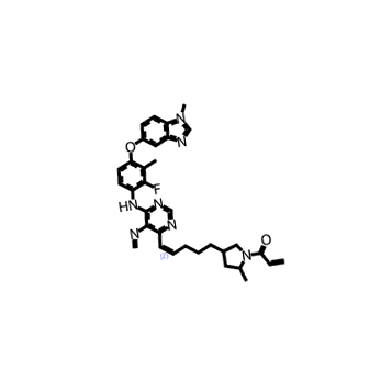 C=CC(=O)N1CC(CCC/C=C\c2ncnc(Nc3ccc(Oc4ccc5c(c4)ncn5C)c(C)c3F)c2N=C)CC1C